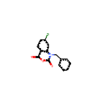 O=c1oc(=O)n(Cc2ccccc2)c2cc(Cl)ccc12